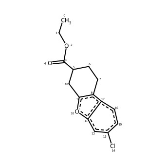 CCOC(=O)C1CCc2c(oc3cc(Cl)ccc23)C1